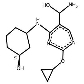 NC(O)c1cnc(OC2CC2)nc1NC1CCC[C@H](O)C1